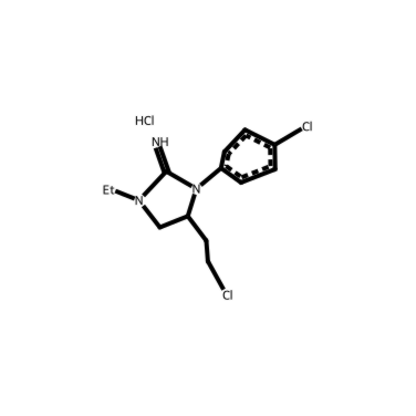 CCN1CC(CCCl)N(c2ccc(Cl)cc2)C1=N.Cl